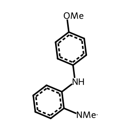 C[N]c1ccccc1Nc1ccc(OC)cc1